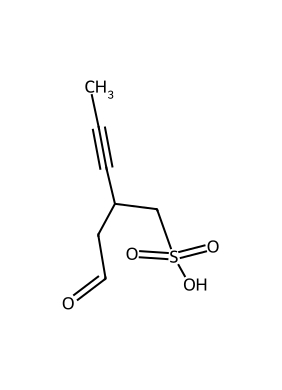 CC#CC(CC=O)CS(=O)(=O)O